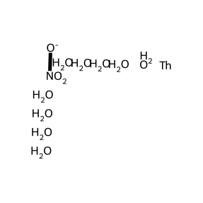 O.O.O.O.O.O.O.O.O.O=[N+]([O-])[O-].[Th]